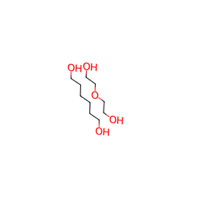 OCCCCCCO.OCCOCCO